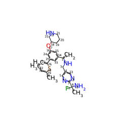 C=C(NCc1cnc(C(C)(N)F)nc1)c1cc(OC2CCCNC2)cc(C(=C)S/C(C)=C\C)c1